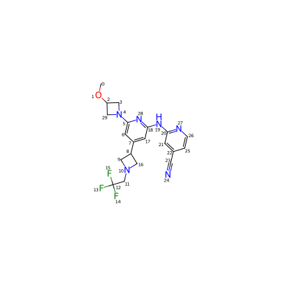 COC1CN(c2cc(C3CN(CC(F)(F)F)C3)cc(Nc3cc(C#N)ccn3)n2)C1